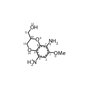 COc1cc(N)c2c(c1N)OC(CO)CO2